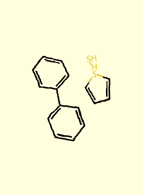 S[SH]1C=CC=C1.c1ccc(-c2ccccc2)cc1